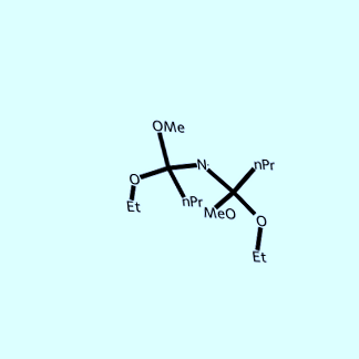 CCCC([N]C(CCC)(OC)OCC)(OC)OCC